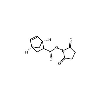 O=C(ON1C(=O)CCC1=O)C1C[C@H]2C=C[C@@H]1C2